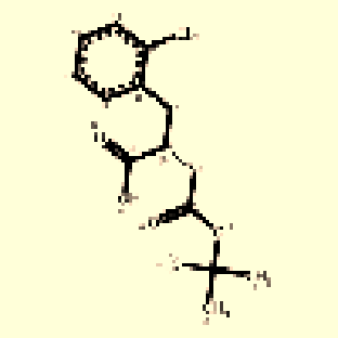 CC(C)(C)OC(=O)C[C@@H](Cc1ccccc1Cl)C(=O)O